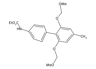 CCOC(=O)Nc1ccc(-c2c(OCOC)cc(C)cc2OCOC)cc1